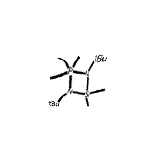 CC(C)(C)N1[Si](C)(C)N(C(C)(C)C)P1(C)(C)C